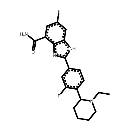 CCN1CCCCC1c1ccc(-c2nc3c(C(N)=O)cc(F)cc3[nH]2)cc1F